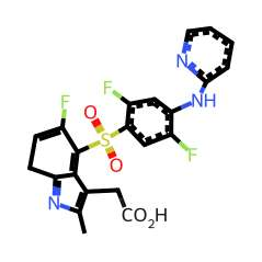 CC1=C(CC(=O)O)C2=C(S(=O)(=O)c3cc(F)c(Nc4ccccn4)cc3F)C(F)=CCC2=N1